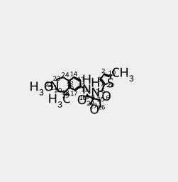 Cc1ccc(C(=O)N[C@@]2(C(=O)Nc3ccc4c(c3)[C@@H](C)CN(C)CC4)CCOC2)s1